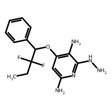 CCC(F)(F)C(Oc1cc(N)nc(NN)c1N)c1ccccc1